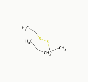 CCSSCC.[CH2]CC